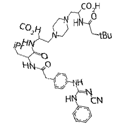 CC(C)CC(NC(=O)Cc1ccc(NC(=NC#N)Nc2ccccc2)cc1)C(=O)NC(CN1CCN(CC(NC(=O)CC(C)(C)C)C(=O)O)CC1)C(=O)O